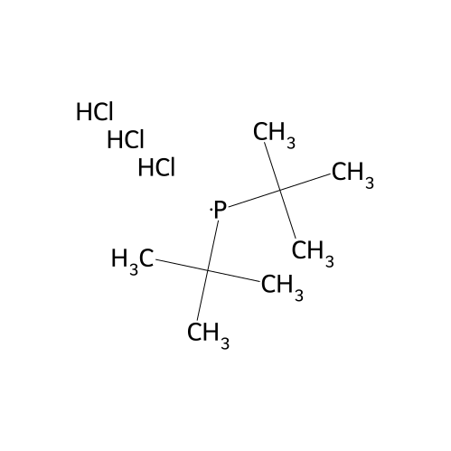 CC(C)(C)[P]C(C)(C)C.Cl.Cl.Cl